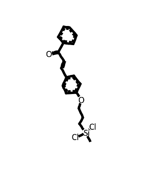 C[Si](Cl)(Cl)CCCOc1ccc(C=CC(=O)c2ccccc2)cc1